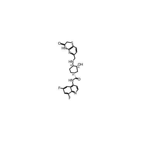 O=C1CSc2ccc(CN[C@@H]3CC[C@@H](C(=O)Nc4ccnc5c(F)cc(F)cc45)C[C@H]3O)nc2N1